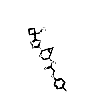 O=C(COc1ccc(F)cc1)N[C@H]1CO[C@H](c2nnc(C3(OC(F)(F)F)CCC3)o2)C2CC21